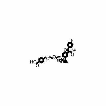 CNC(=O)c1c(-c2ccc(F)cc2)oc2cc(N(CCOCCOCc3ccc(C(=O)O)cc3)S(C)(=O)=O)c(C3CC3)cc12